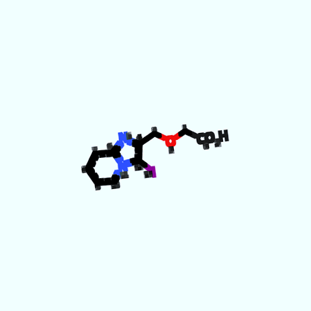 O=C(O)COCc1nc2ccccn2c1I